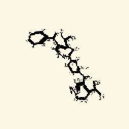 C=C(c1ccccc1)c1cnc(-c2ccc(C(C)c3cnccc3C(C)C)cc2)cc1C(C)C